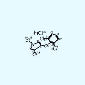 CCN1C[C@@H](O)[C@H](Oc2c(Cl)cccc2Cl)C1.Cl